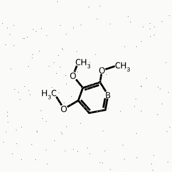 COc1bccc(OC)c1OC